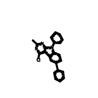 Cc1nc(Cl)c2c3cc(-c4ccccc4)ccc3n(-c3ccccc3)c2n1